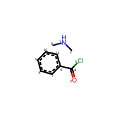 CNC.O=C(Cl)c1ccccc1